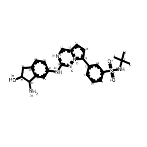 CC(C)(C)NS(=O)(=O)c1cccc(-c2ccc3cnc(Nc4ccc5c(c4)C(N)C(O)C5)nn23)c1